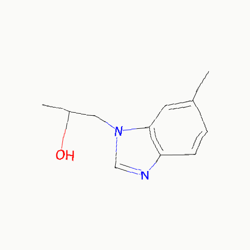 Cc1ccc2ncn(CC(C)O)c2c1